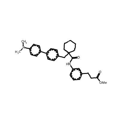 COC(=O)CCc1cccc(NC(=O)C2(Cc3ccc(-c4ccc(N(C)C)cc4)cc3)CCCCC2)c1